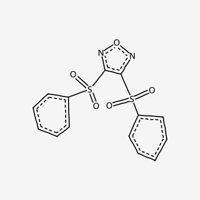 O=S(=O)(c1ccccc1)c1nonc1S(=O)(=O)c1ccccc1